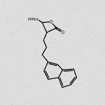 CCCCCCC1OC(=O)C1CCCc1ccc2ccccc2c1